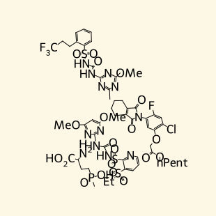 CCCCCOC(=O)COc1cc(N2C(=O)C3=C(CCCC3)C2=O)c(F)cc1Cl.CCS(=O)(=O)c1cccnc1S(=O)(=O)NC(=O)Nc1nc(OC)cc(OC)n1.COc1nc(C)nc(NC(=O)NS(=O)(=O)c2ccccc2CCC(F)(F)F)n1.CP(=O)(O)CCC(N)C(=O)O